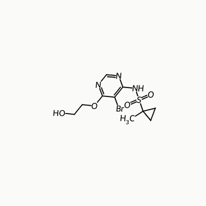 CC1(S(=O)(=O)Nc2ncnc(OCCO)c2Br)CC1